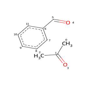 CC(C)=O.O=Cc1ccccc1